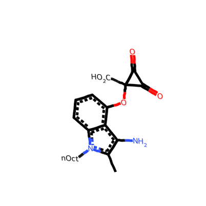 CCCCCCCCn1c(C)c(N)c2c(OC3(C(=O)O)C(=O)C3=O)cccc21